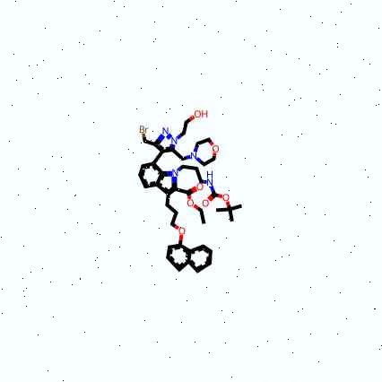 CCOC(=O)c1c(CCCOc2cccc3ccccc23)c2cccc(-c3c(CBr)nn(CCO)c3CN3CCOCC3)c2n1CCCNC(=O)OC(C)(C)C